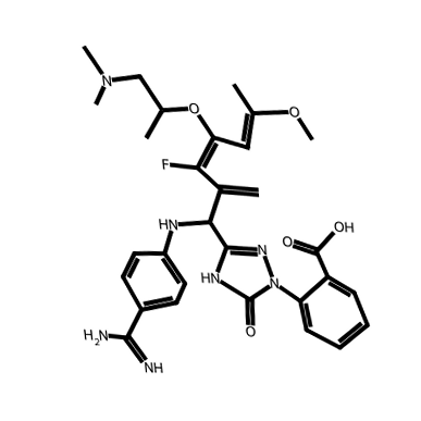 C=C(/C(F)=C(\C=C(/C)OC)OC(C)CN(C)C)C(Nc1ccc(C(=N)N)cc1)c1nn(-c2ccccc2C(=O)O)c(=O)[nH]1